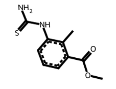 COC(=O)c1cccc(NC(N)=S)c1C